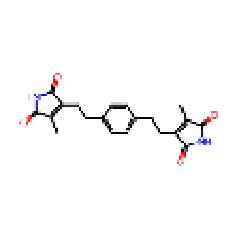 CC1=C(CCc2ccc(CCC3=C(C)C(=O)NC3=O)cc2)C(=O)NC1=O